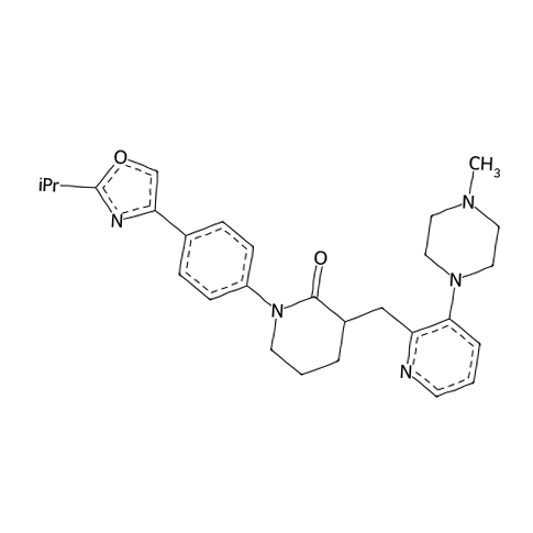 CC(C)c1nc(-c2ccc(N3CCCC(Cc4ncccc4N4CCN(C)CC4)C3=O)cc2)co1